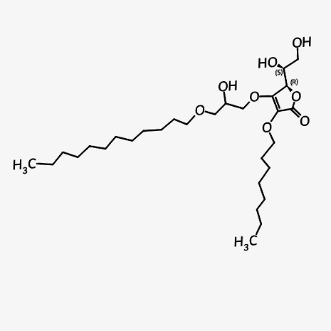 CCCCCCCCCCCCOCC(O)COC1=C(OCCCCCCCC)C(=O)O[C@@H]1[C@@H](O)CO